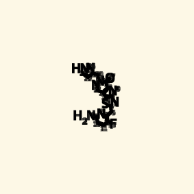 Cn1c2nc(Cc3nc(N)ccc3F)sc2c2cnn(Cc3cc[nH]n3)c(=O)c21